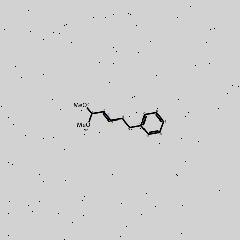 COC(/C=C/CCc1ccccc1)OC